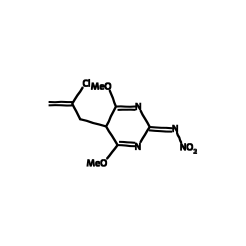 C=C(Cl)CC1C(OC)=NC(=N[N+](=O)[O-])N=C1OC